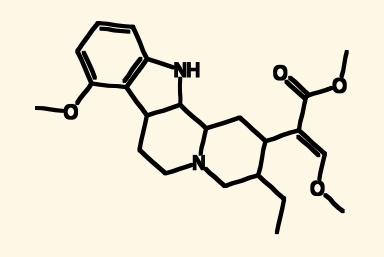 CCC1CN2CCC3c4c(cccc4OC)NC3C2CC1/C(=C\OC)C(=O)OC